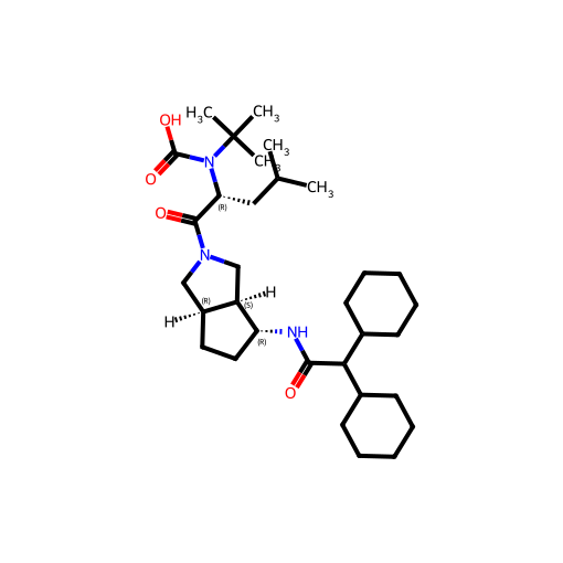 CC(C)C[C@H](C(=O)N1C[C@@H]2CC[C@@H](NC(=O)C(C3CCCCC3)C3CCCCC3)[C@@H]2C1)N(C(=O)O)C(C)(C)C